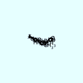 CC(NC1CCS(=O)(=O)CC1)c1cc2cc(NC(=O)c3ccc(OCC4CC4)cc3)ccc2n1C